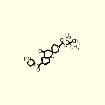 CC(C)(C)OC(=O)N1CCC2(CC1)CC(=O)c1cc(C(=O)[C@@H]3CCNC3)ccc1O2